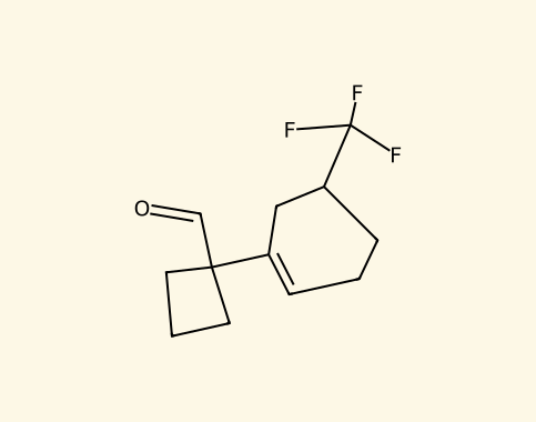 O=CC1(C2=CCCC(C(F)(F)F)C2)CCC1